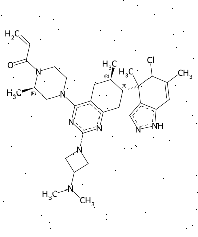 C=CC(=O)N1CCN(c2nc(N3CC(N(C)C)C3)nc3c2C[C@@H](C)[C@H](C2(C)c4cn[nH]c4C=C(C)C2Cl)C3)C[C@H]1C